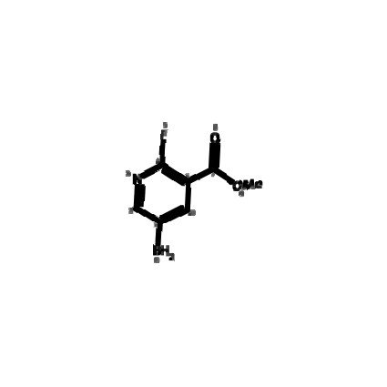 Bc1cnc(F)c(C(=O)OC)c1